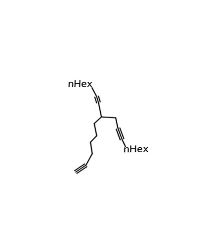 C#CCCCCC(C#CCCCCCC)CC#CCCCCCC